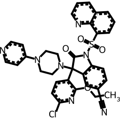 CCOc1nc(Cl)ccc1C1(N2CCN(c3ccncc3)CC2)C(=O)N(S(=O)(=O)c2cccc3cccnc23)c2ccc(C#N)cc21